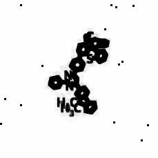 CC1(C)c2ccccc2-c2ccc(-c3cc(-c4ccc(-c5cccc6c5Sc5ccccc5C65c6ccccc6-c6ccccc65)cc4)nc(-c4ccccc4)n3)cc21